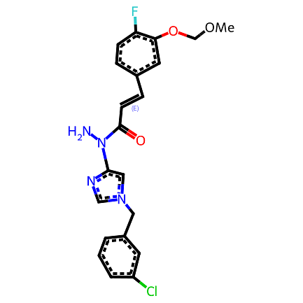 COCOc1cc(/C=C/C(=O)N(N)c2cn(Cc3cccc(Cl)c3)cn2)ccc1F